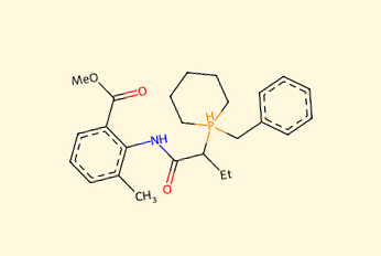 CCC(C(=O)Nc1c(C)cccc1C(=O)OC)[PH]1(Cc2ccccc2)CCCCC1